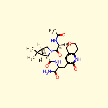 CC(C)(C)[C@H](NC(=O)C(F)(F)F)C(=O)N1C[C@H]2[C@@H]([C@H]1C(=O)NC(Cc1cc3c([nH]c1=O)CCOC3)C(N)=O)C2(C)C